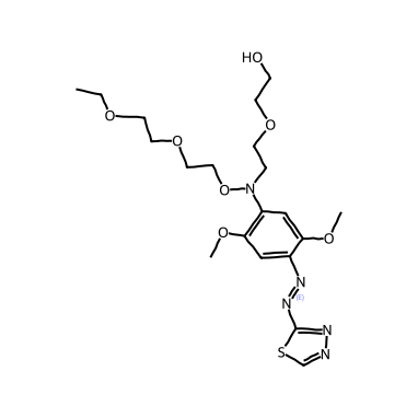 CCOCCOCCON(CCOCCO)c1cc(OC)c(/N=N/c2nncs2)cc1OC